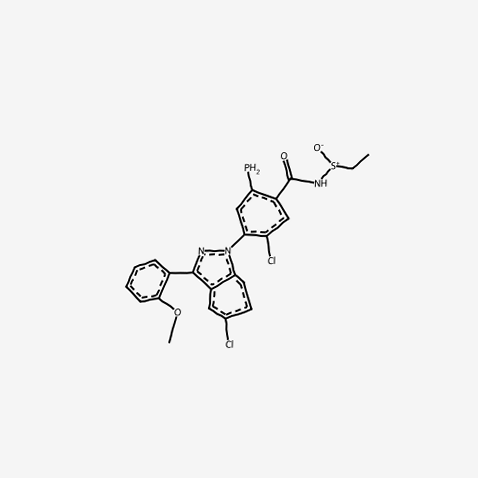 CC[S+]([O-])NC(=O)c1cc(Cl)c(-n2nc(-c3ccccc3OC)c3cc(Cl)ccc32)cc1P